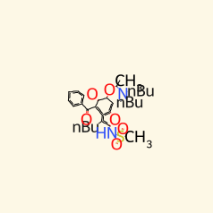 CCCCc1c(NS(C)(=O)=O)oc2c1=C(C(=O)c1ccccc1)C(=O)C(OC(C)N(CCCC)CCCC)C=2